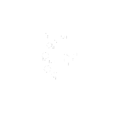 N#Cc1cc(-c2ccnc(Nc3cccc(S(=O)(=O)N4CCOCC4)c3)c2)[nH]c1N1CCNCC1.O=C(O)C(F)(F)F